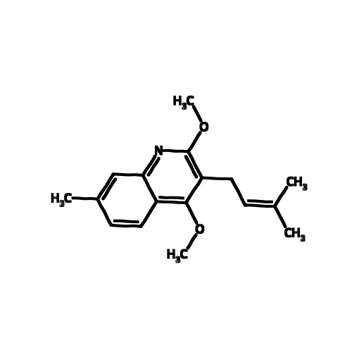 COc1nc2cc(C)ccc2c(OC)c1CC=C(C)C